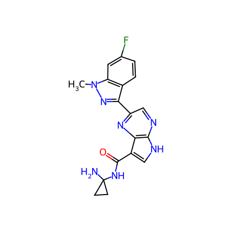 Cn1nc(-c2cnc3[nH]cc(C(=O)NC4(N)CC4)c3n2)c2ccc(F)cc21